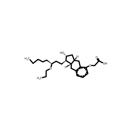 CCCCC[C@@H](CC[C@@H]1[C@H]2Cc3cccc(OCC(=O)O)c3C[C@H]2C[C@H]1O)OCCC